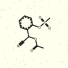 CC(=O)OC(C#N)c1ccccc1OS(C)(=O)=O